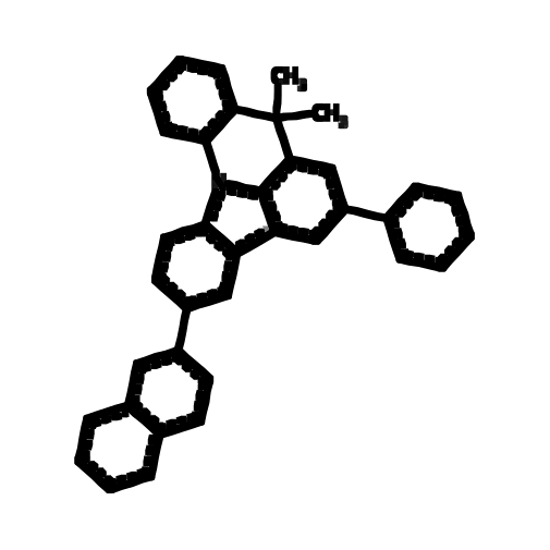 CC1(C)c2ccccc2-n2c3ccc(-c4ccc5ccccc5c4)cc3c3cc(-c4ccccc4)cc1c32